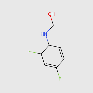 OCNC1C=CC(F)=CC1F